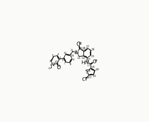 Cn1cccc(-c2cccc(CN3Cc4c(NC(=O)c5ccc(Cl)s5)cccc4C3=O)c2)c1=O